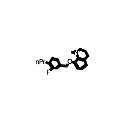 CCCc1ccc(COc2cccc3c2N(C)CCC3)cc1F